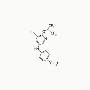 O=C(O)c1ccc(Nc2cnc(OC(C(F)(F)F)C(F)(F)F)c(Cl)c2)cc1